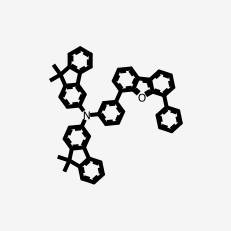 CC1(C)c2ccccc2-c2cc(N(c3cccc(-c4cccc5c4oc4c(-c6ccccc6)cccc45)c3)c3ccc4c(c3)-c3ccccc3C4(C)C)ccc21